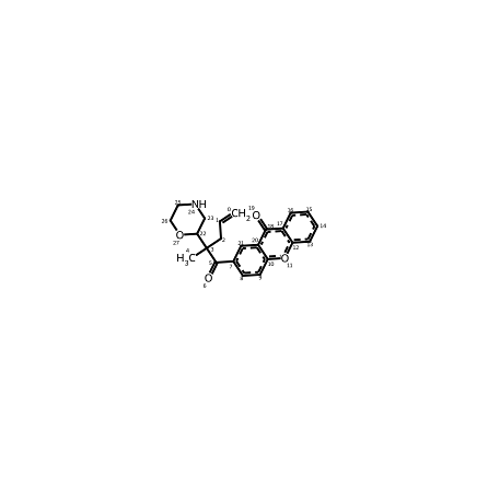 C=CCC(C)(C(=O)c1ccc2oc3ccccc3c(=O)c2c1)C1CNCCO1